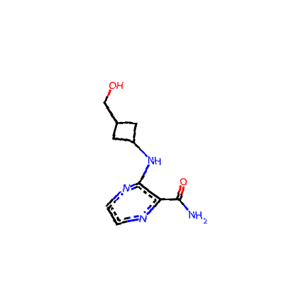 NC(=O)c1nccnc1NC1CC(CO)C1